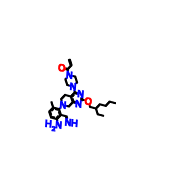 C=CC(=O)N1CCN(c2nc(OCC(CC)CCCC)nc3c2CCN(c2c(C)ccc(N)c2C=N)C3)CC1